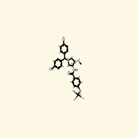 CO[C@H]1CN(C(c2ccc(Cl)cc2)c2ccc(Cl)cc2)C[C@H]1NC(=O)c1ccc(OC(F)(F)F)cc1